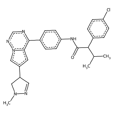 CC(C)C(C(=O)Nc1ccc(-c2ncnn3cc(C4C=NN(C)C4)cc23)cc1)c1ccc(Cl)cc1